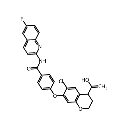 C=C(O)C1CCOc2cc(Oc3ccc(C(=O)Nc4ccc5cc(F)ccc5n4)cc3)c(Cl)cc21